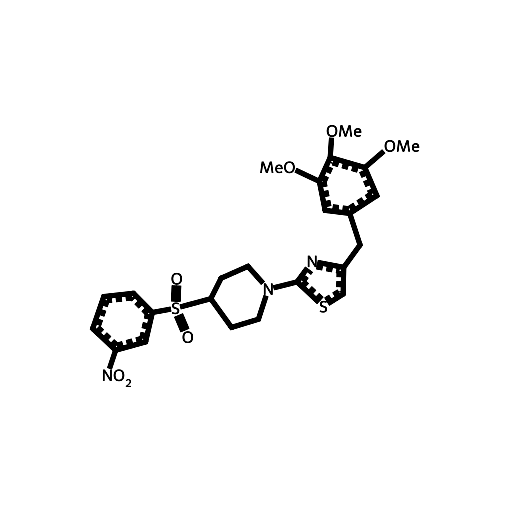 COc1cc(Cc2csc(N3CCC(S(=O)(=O)c4cccc([N+](=O)[O-])c4)CC3)n2)cc(OC)c1OC